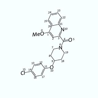 COc1cc(C(=O)N2CCC(Oc3ccc(Cl)cc3)CC2)nc2ccccc12